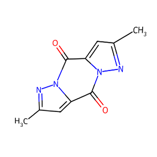 Cc1cc2c(=O)n3nc(C)cc3c(=O)n2n1